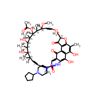 CO[C@H]1/C=C\O[C@@]2(C)Oc3c(C)c(O)c4c(c3C2=O)C(=O)/C(=C/NN2CCN(C3CCCC3)CC2)C(=C4O)NC(=O)/C(C)=C\C=C/[C@H](C)[C@H](O)[C@@H](C)[C@@H](O)[C@H](C)[C@H](OC(C)=O)[C@H]1C